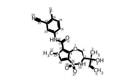 C=C[C@@](C)(O)[C@@H]1COc2c(cn(C)c2C(=O)Nc2ccc(F)c(C#N)c2)S(=O)(=O)N1